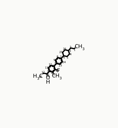 CCCC1CCC(c2ccc(-c3ccc(C(O)CC)c(C)c3F)cc2)CC1